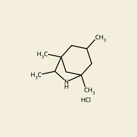 CC1CC2(C)CC(C)(C1)C(C)N2.Cl